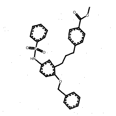 COC(=O)c1ccc(CCCc2cc(NS(=O)(=O)c3ccccc3)ccc2OCc2ccccc2)cc1